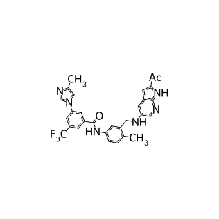 CC(=O)c1cc2cc(NCc3cc(NC(=O)c4cc(-n5cnc(C)c5)cc(C(F)(F)F)c4)ccc3C)cnc2[nH]1